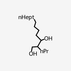 CCCCCCCCCCCC(O)C(CO)CCC